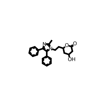 Cc1nc(-c2ccccc2)c(-c2ccccc2)n1CCC1CC(O)CC(=O)O1